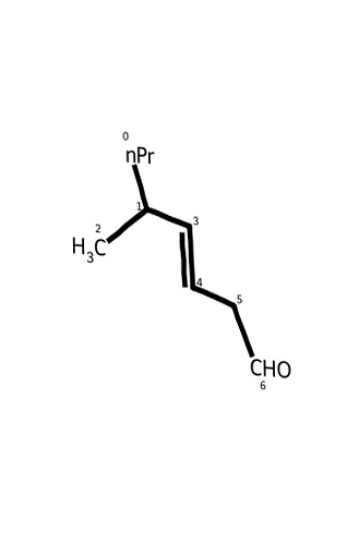 CCCC(C)C=CCC=O